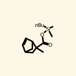 CCCC[Si](C)(C)OC(=O)C1(C)CC2C=CC1C2